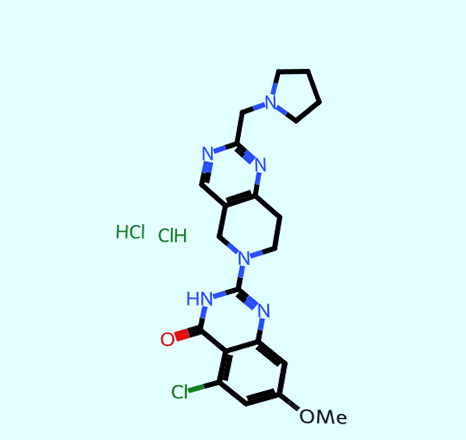 COc1cc(Cl)c2c(=O)[nH]c(N3CCc4nc(CN5CCCC5)ncc4C3)nc2c1.Cl.Cl